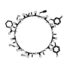 C#CC[C@@H]1NC(=O)[C@H](Cc2cccc(I)c2)NC(=O)CN(C)C(=O)[C@H](Cc2ccc(F)cc2)N(C)C(=O)CN(C)C(=O)CN(C)C(=O)[C@H]([C@@H](C)CC)NC(=O)[C@H](CC(C)C)N(C)C(=O)C[C@@H](C(=O)N2CCCCC2)N(C)C(=O)[C@H](CC(C)C)NC(=O)C(C)(C)N(C)C1=O